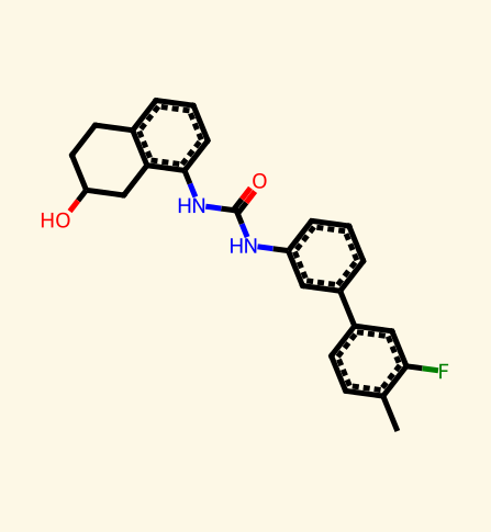 Cc1ccc(-c2cccc(NC(=O)Nc3cccc4c3CC(O)CC4)c2)cc1F